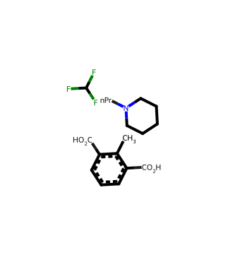 CCCN1CCCCC1.Cc1c(C(=O)O)cccc1C(=O)O.FC(F)F